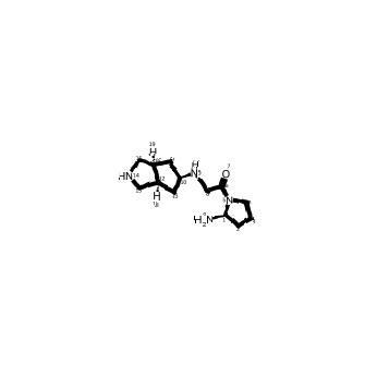 N[C@@H]1CCCN1C(=O)CN[C@H]1C[C@H]2CNC[C@H]2C1